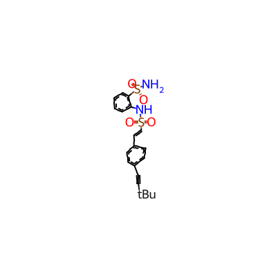 CC(C)(C)C#Cc1ccc(/C=C/S(=O)(=O)Nc2ccccc2S(N)(=O)=O)cc1